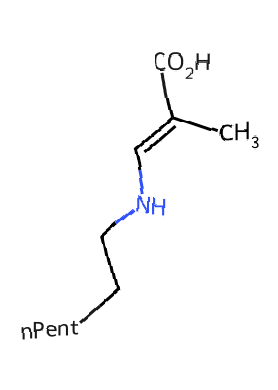 CCCCCCCN/C=C(\C)C(=O)O